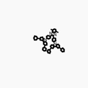 Cc1ccc(C)c2nc(-c3ccc(-n4c5ccc(-c6ccccc6)cc5c5cc(-c6ccccc6)ccc54)cc3)c(-c3ccc(-n4c5ccc(-c6ccccc6)cc5c5cc(-c6ccccc6)ccc54)cc3)nc12